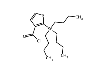 CCC[CH2][Sn]([CH2]CCC)([CH2]CCC)[c]1sccc1C(=O)Cl